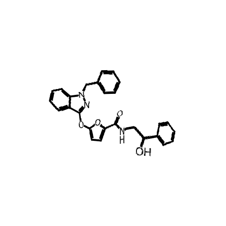 O=C(NCC(O)c1ccccc1)c1ccc(Oc2nn(Cc3ccccc3)c3ccccc23)o1